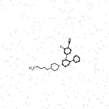 CCCCC[C@H]1CC[C@H](c2ccc(-c3ccccc3)c(-c3ccc(C#N)c(F)c3)c2)CC1